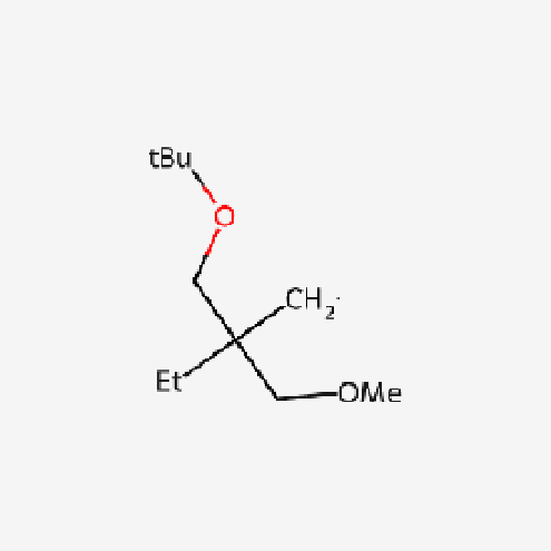 [CH2]C(CC)(COC)COC(C)(C)C